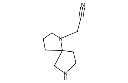 N#CCN1CCCC12CCNC2